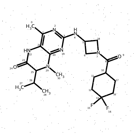 Cc1nc(NC2CN(C(=O)C3CCC(F)(F)CC3)C2)nc2c1NC(=O)C(C(C)C)N2C